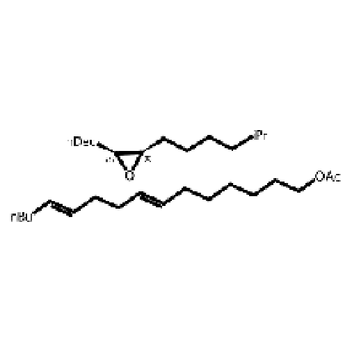 CCCCC=CCCC=CCCCCCCOC(C)=O.CCCCCCCCCC[C@@H]1O[C@@H]1CCCCC(C)C